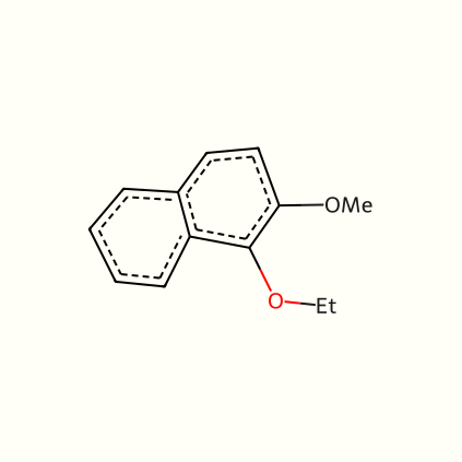 CCOc1c(OC)ccc2ccccc12